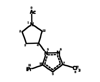 CC(=O)N1CCC(n2nc(C(F)(F)F)cc2C(C)C)C1